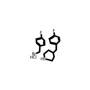 Cl.Fc1ccc(CBr)cc1.Fc1ccc(CC2CCNCC2)cc1